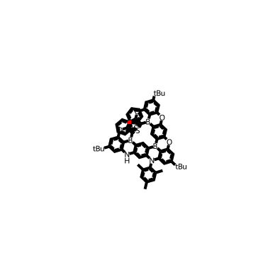 Cc1cc(C)c(N2c3cc4c(cc3B3c5cc6c(cc5Oc5cc(C(C)(C)C)cc2c53)Oc2cc(C(C)(C)C)cc3c2B6c2sc5ccccc5c2O3)B2c3sc5ccccc5c3Oc3cc(C(C)(C)C)cc(c32)N4)c(C)c1